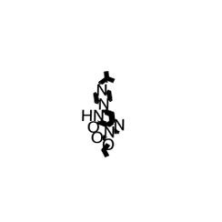 CCOC(=O)n1cnc2cc(N3CCN(C[C](C)C)CC3)[nH]c(=O)c21